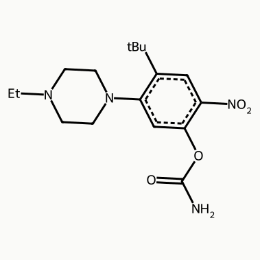 CCN1CCN(c2cc(OC(N)=O)c([N+](=O)[O-])cc2C(C)(C)C)CC1